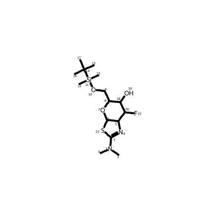 CN(C)C1=NC2C(OC(CO[Si](C)(C)C(C)(C)C)C(O)C2F)S1